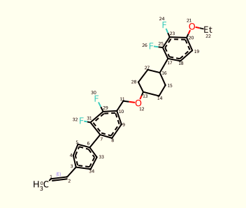 C/C=C/c1ccc(-c2ccc(COC3CCC(c4ccc(OCC)c(F)c4F)CC3)c(F)c2F)cc1